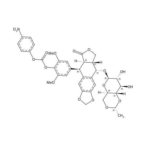 COc1cc([C@@H]2c3cc4c(cc3[C@@H](O[C@@H]3O[C@@H]5CO[C@@H](C)O[C@H]5[C@H](O)[C@H]3O)[C@H]3COC(=O)[C@H]23)OCO4)cc(OC)c1OC(=O)Oc1ccc([N+](=O)[O-])cc1